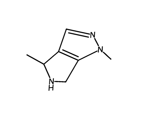 CC1NCc2c1cnn2C